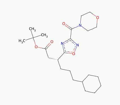 CC(C)(C)OC(=O)C[C@@H](CCCC1CCCCC1)c1nc(C(=O)N2CCOCC2)no1